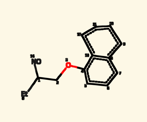 CCC(COc1cccc2ccccc12)N=O